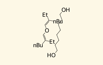 CCCCC(=COC=C(CC)CCCC)CC.OCCCCCCCCO